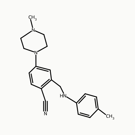 Cc1ccc(NCc2cc(N3CCN(C)CC3)ccc2C#N)cc1